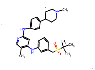 Cc1cnc(Nc2ccc(C3CCN(C)CC3)cc2)cc1Nc1cccc(CS(=O)(=O)C(C)(C)C)c1